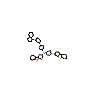 c1cc(-c2ccc(N(c3ccc(-c4ccc5c(c4)sc4ccccc45)cc3)c3ccc4oc5ccccc5c4c3)cc2)cc(-c2cccc3ccccc23)c1